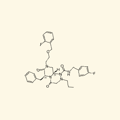 CCCN1CC(=O)N2[C@@H](Cc3ccccc3)C(=O)N(CCOCc3ccccc3F)C[C@@H]2N1C(=O)NCc1ccc(F)cc1